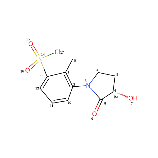 Cc1c(N2CC[C@H](O)C2=O)cccc1S(=O)(=O)Cl